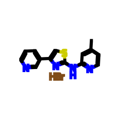 Br.Cc1ccnc(Nc2nc(-c3cccnc3)cs2)c1